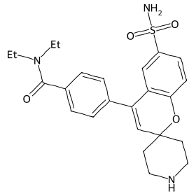 CCN(CC)C(=O)c1ccc(C2=CC3(CCNCC3)Oc3ccc(S(N)(=O)=O)cc32)cc1